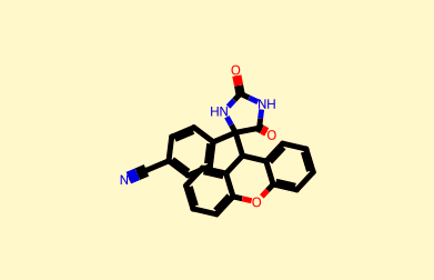 N#Cc1ccc(C2(C3c4ccccc4Oc4ccccc43)NC(=O)NC2=O)cc1